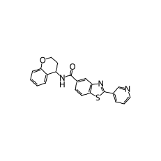 O=C(NC1CCOc2ccccc21)c1ccc2sc(-c3cccnc3)nc2c1